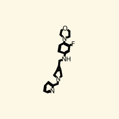 Fc1cc(NCC2C3CN(Cc4ccccn4)CC23)ccc1N1CCOCC1